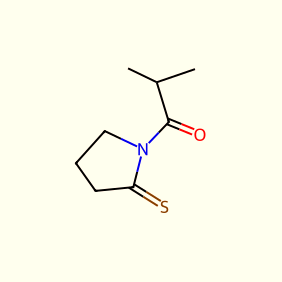 CC(C)C(=O)N1CCCC1=S